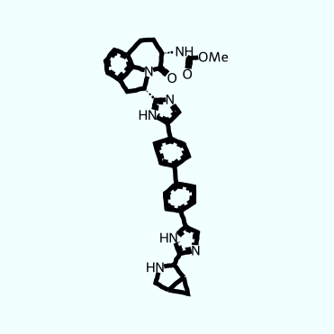 COC(=O)N[C@H]1CCc2cccc3c2N(C1=O)[C@H](c1ncc(-c2ccc(-c4ccc(-c5cnc(C6NCC7CC76)[nH]5)cc4)cc2)[nH]1)C3